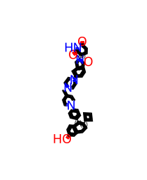 O=C1CC[C@H](N2Cc3cc(N4CCN(CC5CCN(c6ccc([C@H]7c8ccc(O)cc8CC[C@H]7C7CCC7)cc6)CC5)CC4)ccc3C2=O)C(=O)N1